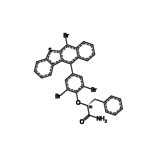 NC(=O)[C@@H](Cc1ccccc1)Oc1c(Br)cc(-c2c3ccccc3c(Br)c3sc4ccccc4c23)cc1Br